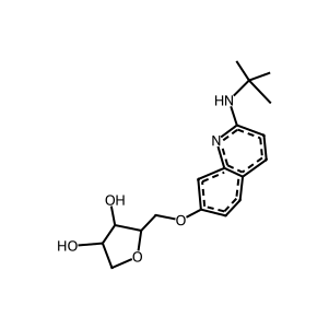 CC(C)(C)Nc1ccc2ccc(OCC3OCC(O)C3O)cc2n1